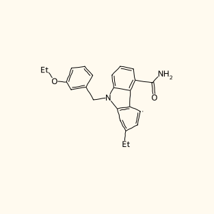 CCOc1cccc(Cn2c3cc(CC)c[c]c3c3c(C(N)=O)cccc32)c1